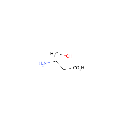 CO.NCCC(=O)O